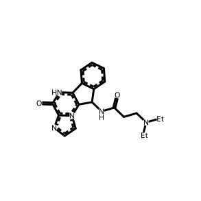 CCN(CC)CCC(=O)NC1c2ccccc2-c2[nH]c(=O)c3nccn3c21